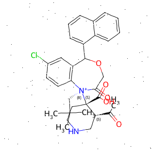 CC(=O)[C@H]1CNCC[C@]1(C(=O)O)[N@+]1(CC(C)(C)C)C(=O)COC(c2cccc3ccccc23)c2cc(Cl)ccc21